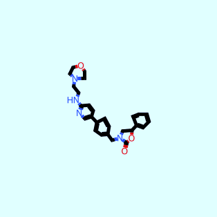 O=C1OC(c2ccccc2)CN1Cc1ccc(-c2ccc(NCCN3CCOCC3)nc2)cc1